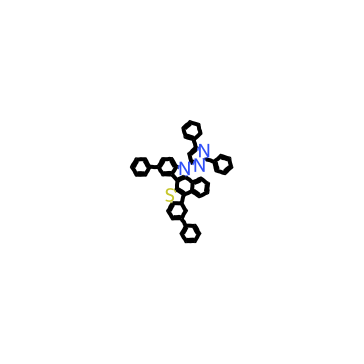 C1=CCCC(c2cc(-n3c4ccc(-c5ccccc5)cc4c4c5c(c6ccccc6c43)C3CC(c4ccccc4)=CC=C3S5)nc(-c3ccccc3)n2)=C1